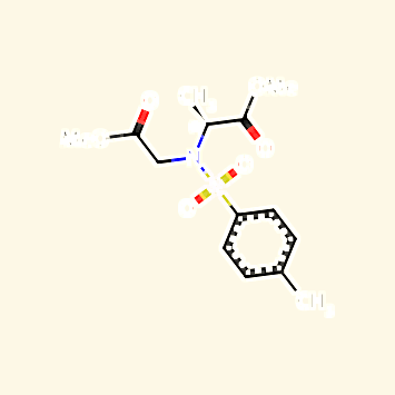 COC(=O)CN([C@@H](C)C(=O)OC)S(=O)(=O)c1ccc(C)cc1